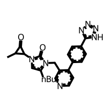 CCCCc1cn(C2C(=O)C2C)c(=O)n1Cc1cnccc1-c1ccc(-c2nnn[nH]2)cc1